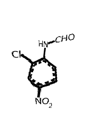 O=CNc1ccc([N+](=O)[O-])cc1Cl